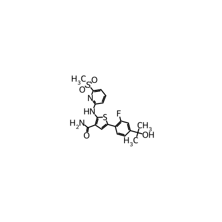 CC(C)(O)c1ccc(-c2cc(C(N)=O)c(Nc3cccc(S(C)(=O)=O)n3)s2)c(F)c1